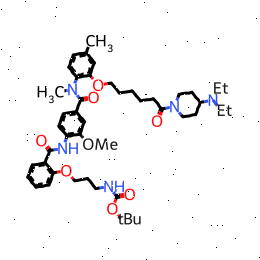 CCN(CC)C1CCN(C(=O)CCCCCOc2cc(C)ccc2N(C)C(=O)c2ccc(NC(=O)c3ccccc3OCCCNC(=O)OC(C)(C)C)c(OC)c2)CC1